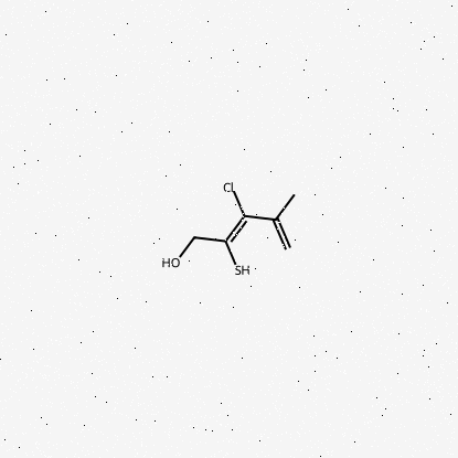 C=C(C)/C(Cl)=C(\S)CO